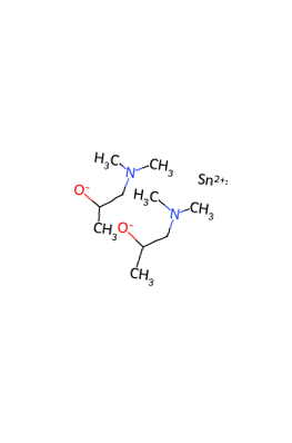 CC([O-])CN(C)C.CC([O-])CN(C)C.[Sn+2]